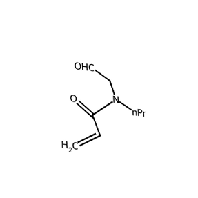 C=CC(=O)N(CC=O)CCC